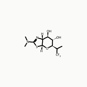 CC([C@H]1O[C@@H]2SC(N(C)C)=N[C@@H]2[C@@H](O)[C@@H]1O)C(F)(F)F